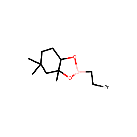 CC(C)CCB1OC2CCC(C)(C)CC2(C)O1